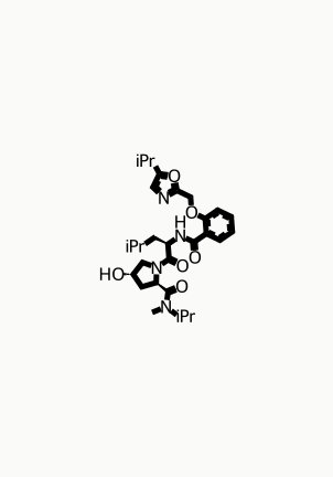 CC(C)C[C@@H](NC(=O)c1ccccc1OCc1ncc(C(C)C)o1)C(=O)N1C[C@@H](O)C[C@@H]1C(=O)N(C)C(C)C